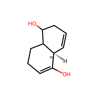 OC1=CCCC2C(O)CC=C[C@@H]12